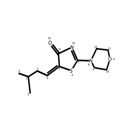 CC(C)C/C=C1/SC(N2CCOCC2)=NC1=O